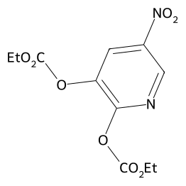 CCOC(=O)Oc1cc([N+](=O)[O-])cnc1OC(=O)OCC